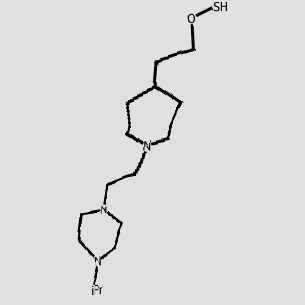 CC(C)N1CCN(CCN2CCC(CCOS)CC2)CC1